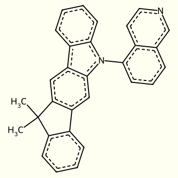 CC1(C)c2ccccc2-c2cc3c(cc21)c1ccccc1n3-c1cccc2cnccc12